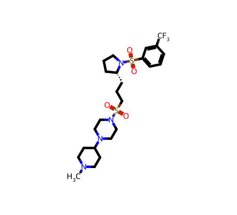 CN1CCC(N2CCN(S(=O)(=O)CCC[C@@H]3CCCN3S(=O)(=O)c3cccc(C(F)(F)F)c3)CC2)CC1